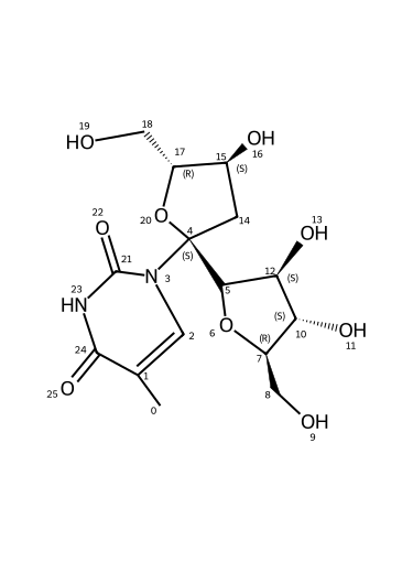 Cc1cn([C@@]2(C3O[C@H](CO)[C@@H](O)[C@@H]3O)C[C@H](O)[C@@H](CO)O2)c(=O)[nH]c1=O